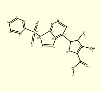 COC(=O)C1=C(O)C(Br)C(c2ccnc3c2ccn3S(=O)(=O)c2ccccc2)S1